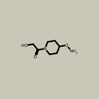 NOC1CCN(C(=O)CO)CC1